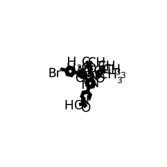 CC(C)(C)OC(=O)N(C(=O)OC(C)(C)C)c1ncc(C2=CCN(C(=O)O)CC2)nc1-c1nnc(-c2ccc(CBr)cc2)o1